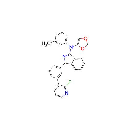 Cc1cccc(N(C2=COCO2)C2=NC(c3cccc(-c4cccnc4F)c3)c3ccccc32)c1